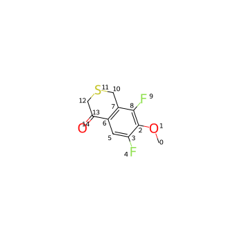 COc1c(F)cc2c(c1F)CSCC2=O